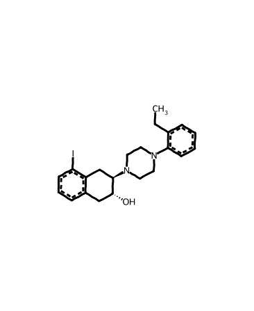 CCc1ccccc1N1CCN([C@@H]2Cc3c(I)cccc3C[C@H]2O)CC1